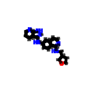 c1cnc2[nH]nc(Nc3ccc4c(NCC5CCOC5)nccc4c3)c2c1